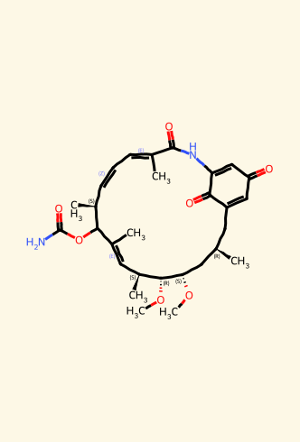 CO[C@H]1[C@@H](OC)C[C@H](C)CC2=CC(=O)C=C(NC(=O)/C(C)=C/C=C\[C@H](C)C(OC(N)=O)/C(C)=C/[C@@H]1C)C2=O